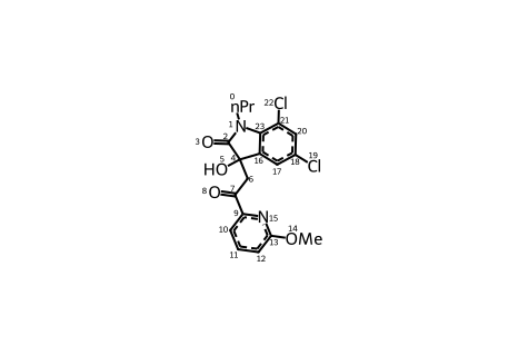 CCCN1C(=O)C(O)(CC(=O)c2cccc(OC)n2)c2cc(Cl)cc(Cl)c21